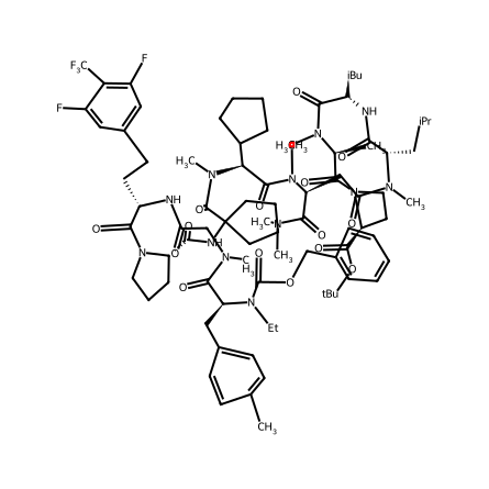 CC[C@H](C)[C@H](NC(=O)[C@H](CC(C)C)N(C)C(=O)C[C@@H](C(=O)N(C)C)N(C)C(=O)[C@H](C1CCCC1)N(C)C(=O)C1(NC(=O)[C@@H]2CCCN2C(=O)[C@H](CCc2cc(F)c(C(F)(F)F)c(F)c2)NC(=O)CN(C)C(=O)[C@H](Cc2ccc(C)cc2)N(CC)C(=O)OCc2ccccc2)CCCC1)C(=O)N(C)[C@@H](C)C(=O)N1CC[C@H]1C(=O)OC(C)(C)C